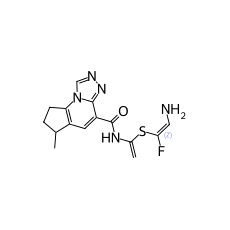 C=C(NC(=O)c1cc2c(n3cnnc13)CCC2C)S/C(F)=C\N